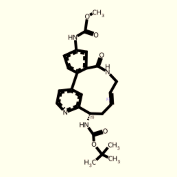 COC(=O)Nc1ccc2c(c1)C(=O)NC/C=C/C[C@H](NC(=O)OC(C)(C)C)c1cc-2ccn1